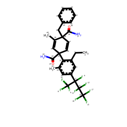 CCc1cc(C(F)(C(F)(F)F)C(F)(F)C(F)(F)F)cc(C)c1C1(C(N)=O)C=CC(Cc2ccccc2)(C(N)=O)C(C)=C1